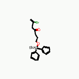 C=C(Br)CC(=O)CCCO[Si](c1ccccc1)(c1ccccc1)C(C)(C)C